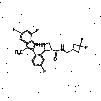 Cc1c(-c2ccc(F)cc2C2NCC2C(=O)NCC2CC(F)(F)C2)[nH]c2c(F)cc(F)cc12